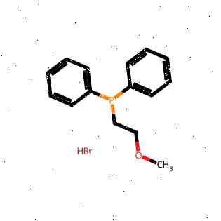 Br.COCCP(c1ccccc1)c1ccccc1